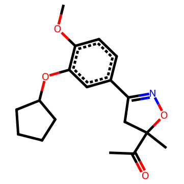 COc1ccc(C2=NOC(C)(C(C)=O)C2)cc1OC1CCCC1